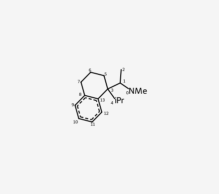 CNC(C)C1(C(C)C)CCCc2ccccc21